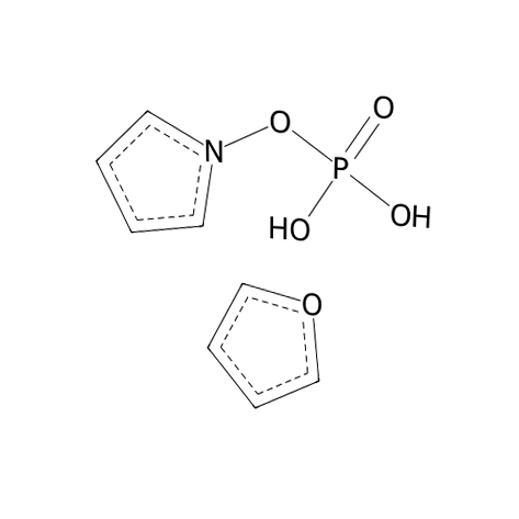 O=P(O)(O)On1cccc1.c1ccoc1